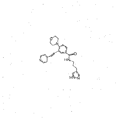 O=C(NCCCc1cn[nH]c1)c1ccc(N2CCOCC2)c(C#Cc2ccncc2)c1